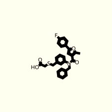 Cc1oc(-c2ccc(F)cc2)cc1C(=O)N(Cc1ccccc1)c1cccc(CSCC(=O)O)c1